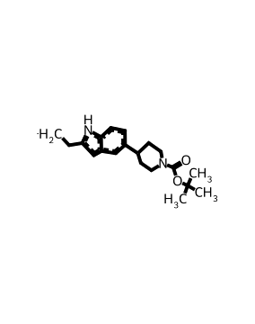 [CH2]Cc1cc2cc(C3CCN(C(=O)OC(C)(C)C)CC3)ccc2[nH]1